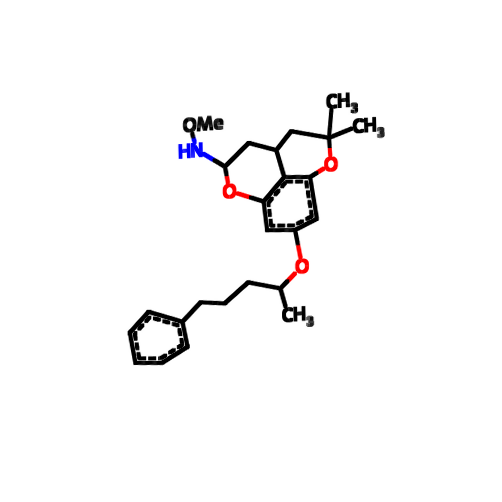 CONC1CC2CC(C)(C)Oc3cc(OC(C)CCCc4ccccc4)cc(c32)O1